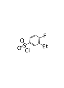 CCc1cc(S(=O)(=O)Cl)ccc1F